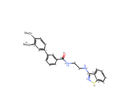 COc1ccc(-c2cccc(C(=O)NCCNc3nsc4ccccc34)c2)cc1OC